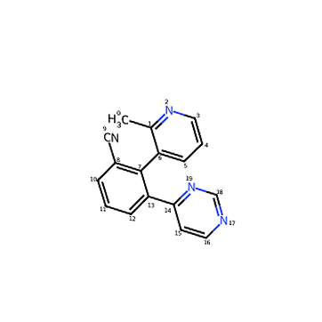 Cc1ncccc1-c1c(C#N)cccc1-c1ccncn1